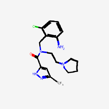 Nc1cccc(Cl)c1CN(CCN1CCCC1)C(=O)c1cc(C(F)(F)F)n[nH]1